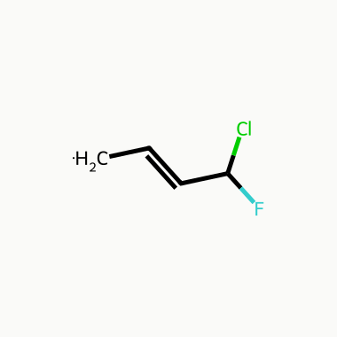 [CH2]C=CC(F)Cl